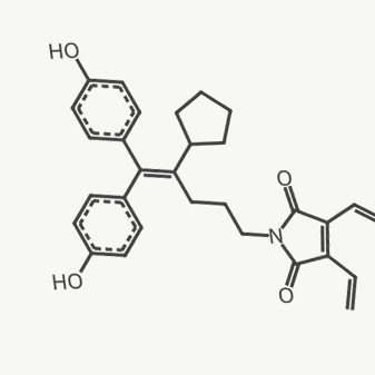 C=CC1=C(/C=C\C)C(=O)N(CCCC(=C(c2ccc(O)cc2)c2ccc(O)cc2)C2CCCC2)C1=O